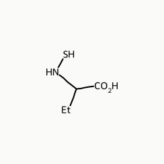 CCC(NS)C(=O)O